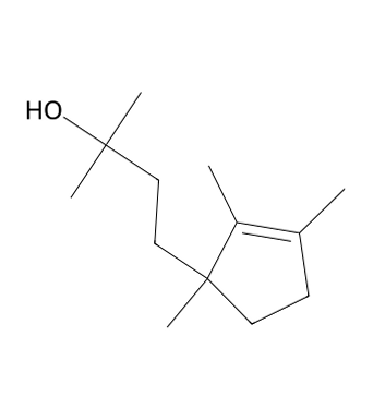 CC1=C(C)C(C)(CCC(C)(C)O)CC1